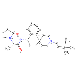 C[C@@H](C(=O)N[C@H]1CCC2(CCN(CCC(C)(C)C)CC2)c2ccccc21)N1CCCC1=O